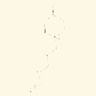 CN1CCN(CCCC[C]=O)CC1